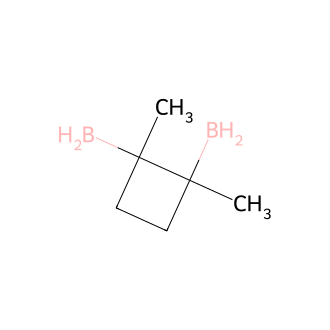 BC1(C)CCC1(B)C